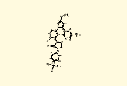 CCn1cc(-c2ccc(F)c(N3CCN(c4ccc(C(F)(F)F)cc4)C3=O)c2)c(-c2ccnc(N)n2)n1